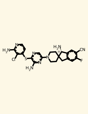 N#Cc1cc2c(cc1F)CC1(CCN(c3cnc(Sc4ccnc(N)c4Cl)c(N)n3)CC1)[C@@H]2N